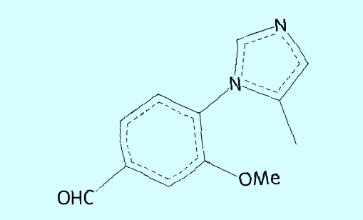 COc1cc(C=O)ccc1-n1cncc1C